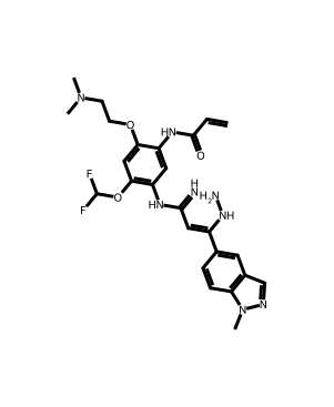 C=CC(=O)Nc1cc(NC(=N)/C=C(\NN)c2ccc3c(cnn3C)c2)c(OC(F)F)cc1OCCN(C)C